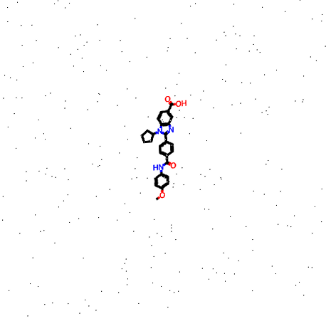 COc1ccc(NC(=O)c2ccc(-c3nc4cc(C(=O)O)ccc4n3C3CCCC3)cc2)cc1